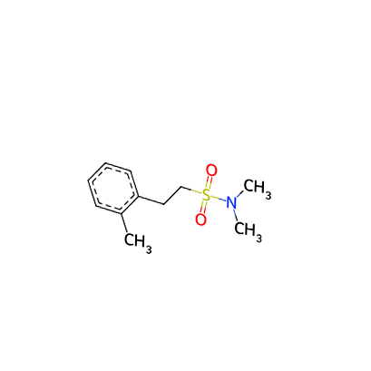 Cc1ccccc1CCS(=O)(=O)N(C)C